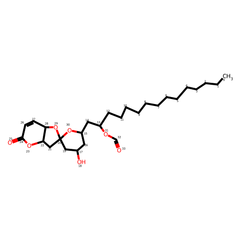 CCCCCCCCCCCCCC(CC1CC(O)CC2(CC3OC(=O)C=CC3O2)O1)OC=O